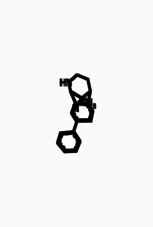 C[C@H]1C2CCNC1c1cc(-c3ccccc3)ccc12